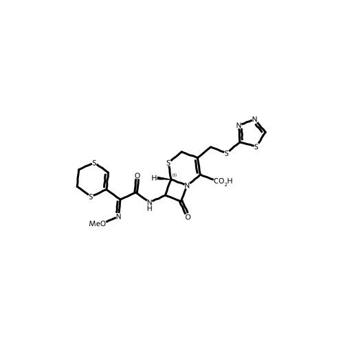 CON=C(C(=O)NC1C(=O)N2C(C(=O)O)=C(CSc3nncs3)CS[C@@H]12)C1=CSCCS1